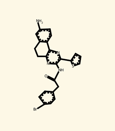 Nc1ccc2c(c1)CCc1nc(NC(=O)Cc3ccc(Br)cc3)c(-c3cccs3)nc1-2